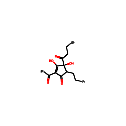 CC(C)CCC(=O)[C@@]1(O)C(O)=C(C(=O)C(C)C)C(=O)C1CCC(C)C